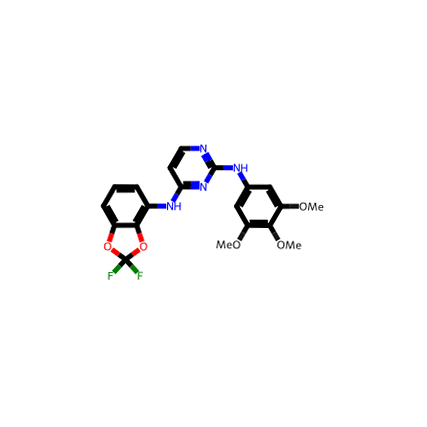 COc1cc(Nc2nccc(Nc3cccc4c3OC(F)(F)O4)n2)cc(OC)c1OC